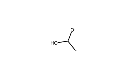 [CH2]C([O])O